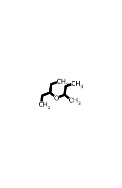 CC[C](CC)OC(C)CC